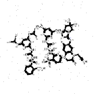 C#CCN1C(=O)COc2cc(F)c(/N=c3\snc4n3CC(C)(C)C4)cc21.CCS(=O)(=O)c1cccnc1S(=O)(=O)NC(=O)Nc1nc(OC)cc(OC)n1.O=C(Nc1nc(OC(F)F)cc(OC(F)F)n1)NS(=O)(=O)c1ccccc1C(=O)O